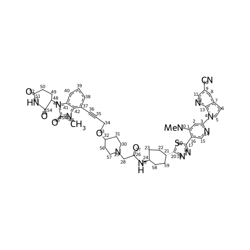 CNc1cc(-n2ccc3cc(C#N)cnc32)ncc1-c1nnc([C@H]2CC[C@H](NC(=O)CN3CCC(OCC#Cc4cccc5c4n(C)c(=O)n5C4CCC(=O)NC4=O)CC3)CC2)s1